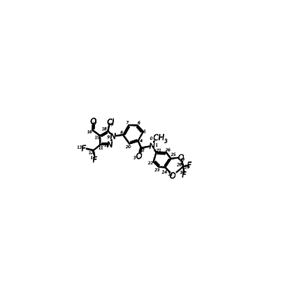 CN(C(=O)c1cccc(-n2nc(C(F)F)c(C=O)c2Cl)c1)c1ccc2c(c1)OC(F)(F)O2